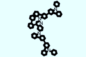 c1ccc(-c2ccccc2-c2cc(-n3c4ccccc4c4cc(-c5ccc6c(c5)c5ccccc5n6-c5ccccc5)ccc43)nc3ccc(-n4c5ccccc5c5cc(-c6ccc7c(c6)c6ccccc6n7-c6ccccc6)ccc54)cc23)cc1